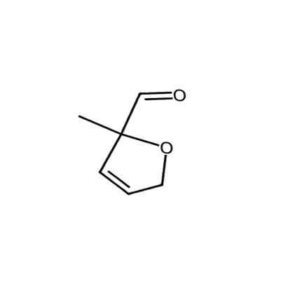 CC1(C=O)C=CCO1